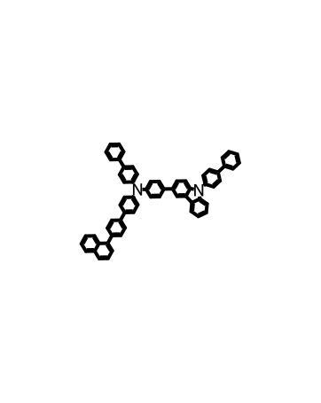 c1ccc(-c2ccc(N(c3ccc(-c4ccc(-c5cccc6ccccc56)cc4)cc3)c3ccc(-c4ccc5c(c4)c4ccccc4n5-c4ccc(-c5ccccc5)cc4)cc3)cc2)cc1